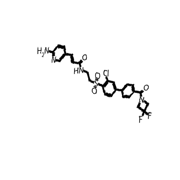 Nc1ccc(C=CC(=O)NCCS(=O)(=O)c2ccc(-c3ccc(C(=O)N4CC(F)(F)C4)cc3)cc2Cl)cn1